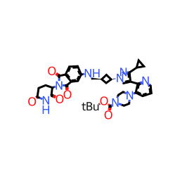 CC(C)(C)OC(=O)N1CCN(c2cccnc2-c2cn([C@H]3C[C@H](CNc4ccc5c(c4)C(=O)N(C4CCC(=O)NC4=O)C5=O)C3)nc2C2CC2)CC1